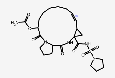 NC(=O)OC1CCCCC/C=C\C2CC2(C(=O)NS(=O)(=O)N2CCCC2)NC(=O)C2CCCN2C1=O